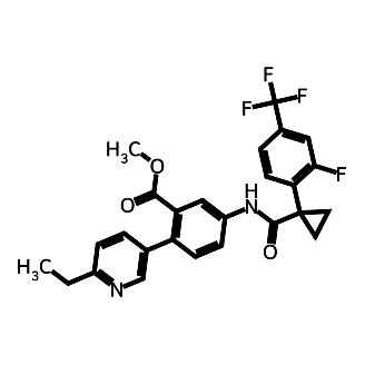 CCc1ccc(-c2ccc(NC(=O)C3(c4ccc(C(F)(F)F)cc4F)CC3)cc2C(=O)OC)cn1